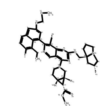 CCc1c(F)ccc2cc(OCOC)cc(-c3ncc4c(N5CC[C@@H]6[C@H](C5)[C@@H]6C(=O)OC)nc(OC[C@@]56CCCN5C[C@H](F)C6)nc4c3F)c12